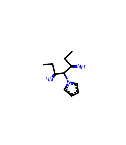 CCC(=N)C(C(=N)CC)n1cccc1